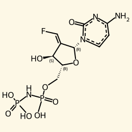 Nc1ccn([C@@H]2O[C@H](COP(=O)(O)NP(=O)(O)O)[C@@H](O)C2=CF)c(=O)n1